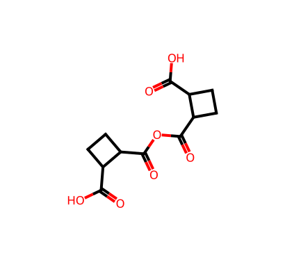 O=C(O)C1CCC1C(=O)OC(=O)C1CCC1C(=O)O